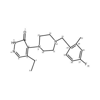 CCc1cn[nH]c(=O)c1N1CCN(Cc2ccc(F)cc2C)CC1